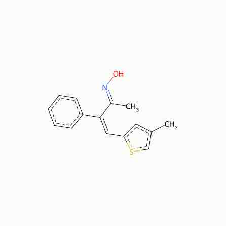 CC(=NO)C(=Cc1cc(C)cs1)c1ccccc1